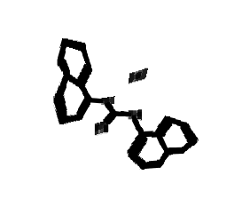 Cl.N=C(Nc1cccc2ccccc12)Nc1cccc2ccccc12